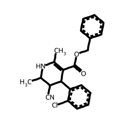 CC1=C(C(=O)OCc2ccccc2)C(c2ccccc2Cl)C(C#N)C(C)N1